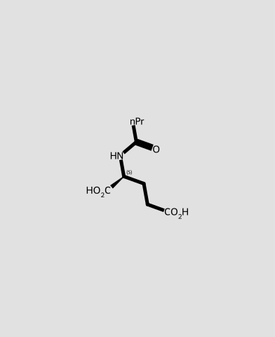 CCCC(=O)N[C@@H](CCC(=O)O)C(=O)O